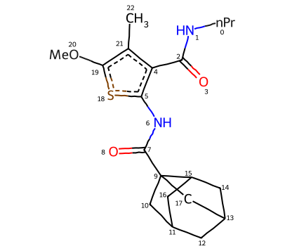 CCCNC(=O)c1c(NC(=O)C23CC4CC(CC2C4)C3)sc(OC)c1C